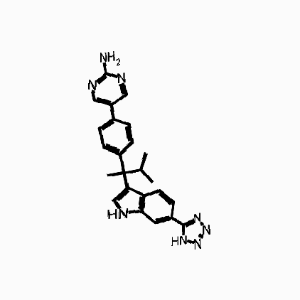 CC(C)C(C)(c1ccc(-c2cnc(N)nc2)cc1)c1c[nH]c2cc(-c3nnn[nH]3)ccc12